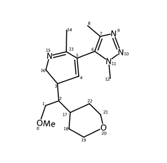 COCC(C1C=C(c2c(C)nnn2C)C(C)=NC1)C1CCOCC1